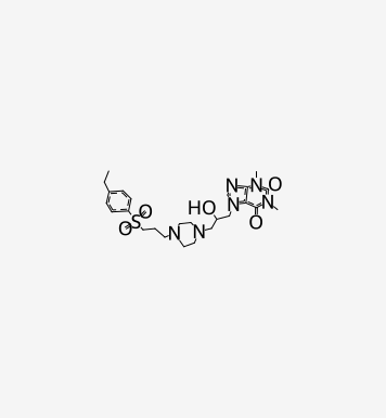 CCc1ccc(S(=O)(=O)CCCN2CCN(CC(O)Cn3cnc4c3c(=O)n(C)c(=O)n4C)CC2)cc1